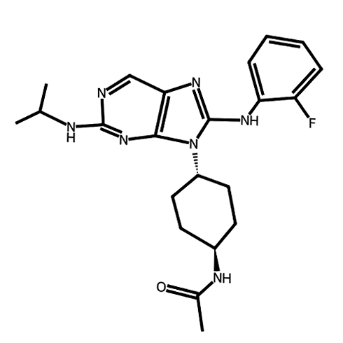 CC(=O)N[C@H]1CC[C@H](n2c(Nc3ccccc3F)nc3cnc(NC(C)C)nc32)CC1